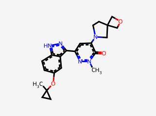 Cn1nc(-c2n[nH]c3ccc(OC4(C)CC4)cc23)cc(N2CCC3(COC3)C2)c1=O